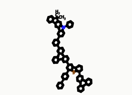 CC1(C)c2ccccc2-c2cc3c4cc(-c5cccc(-c6ccc7c8ccc(-c9cc(-c%10ccc(-c%11ccccc%11)cc%10)c%10sc%11c(-c%12ccc%13c%14ccccc%14c%14ccccc%14c%13c%12)cccc%11c%10c9)cc8c8ccccc8c7c6)c5)ccc4n(-c4ccccc4)c3cc21